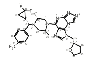 C[C@@H]1CN(c2nc3nncn3c3c2ncn3C[C@@H]2CCCO2)[C@@H](C)CN1C(c1ccc(C(F)(F)F)cc1)[C@@H]1CC1(F)F